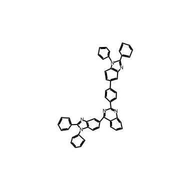 c1ccc(-c2nc3cc(-c4ccc(-c5nc(-c6ccc7c(c6)nc(-c6ccccc6)n7-c6ccccc6)c6ccccc6n5)cc4)ccc3n2-c2ccccc2)cc1